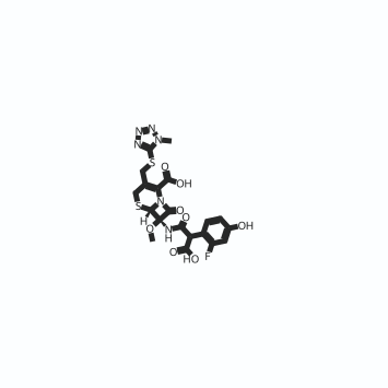 CO[C@@]1(NC(=O)C(C(=O)O)c2ccc(O)cc2F)C(=O)N2C(C(=O)O)=C(CSc3nnnn3C)CS[C@H]21